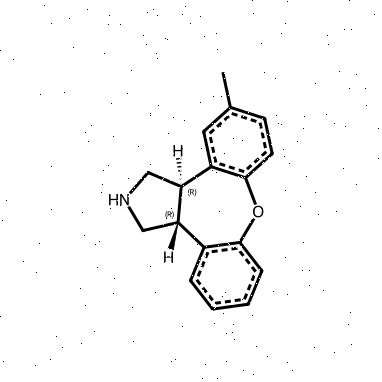 Cc1ccc2c(c1)[C@@H]1CNC[C@H]1c1ccccc1O2